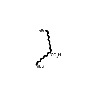 CCCC/C=C\CCCCCCCCC(CCCCCC/C=C\CCCC)C(=O)O